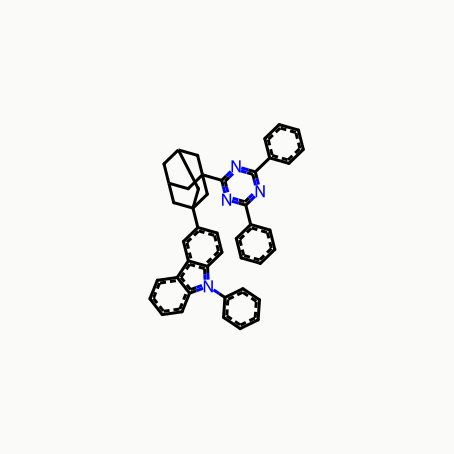 c1ccc(-c2nc(-c3ccccc3)nc(C34CC5CC(CC(c6ccc7c(c6)c6ccccc6n7-c6ccccc6)(C5)C3)C4)n2)cc1